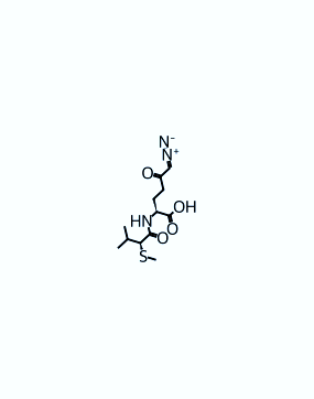 CS[C@H](C(=O)N[C@@H](CCC(=O)C=[N+]=[N-])C(=O)O)C(C)C